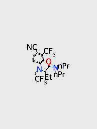 CCCN(CCC)C(=O)C(CC)N(CC(F)(F)F)c1ccc(C#N)c(C(F)(F)F)c1